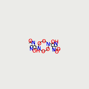 COC(=O)CN(C)Cc1cc(CN2CCOCCOCCN(Cc3cc(CN(C)CC(C)=O)c4cccnc4c3O)CCOCCOCC2)c(O)c2ncccc12